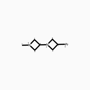 CC(C)C1CN(C2CN(C)C2)C1